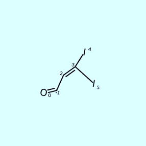 O=[C]C=C(I)I